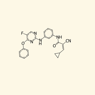 N#C/C(=C/C1CC1)C(=O)Nc1cccc(Nc2ncc(F)c(Oc3ccccc3)n2)c1